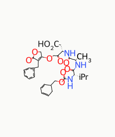 CC(C)[C@H](NC(=O)OCC1C=CC=CC1)C(=O)N[C@@H](C)C(=O)N[C@@H](CC(=O)O)C(=O)COC1=C(Cc2ccccc2)C(=O)OC1